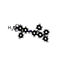 C[Si](C)(C)c1ccc2c3ccc(/C=C/c4ccc5c6ccc(N(c7ccccc7)c7ccccc7)cc6n(-c6ccccc6)c5c4)cc3n(-c3ccccc3)c2c1